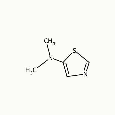 CN(C)c1cncs1